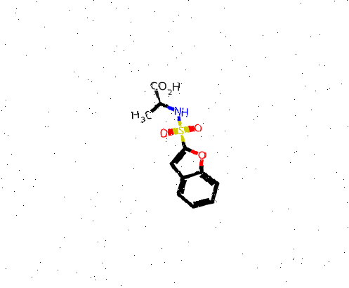 C[C@H](NS(=O)(=O)c1cc2ccccc2o1)C(=O)O